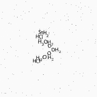 Cl.Cl.O.O.O.O.O.[SnH2]